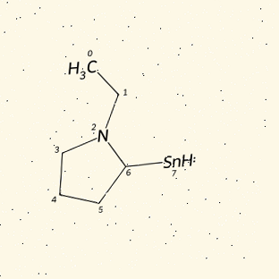 CCN1CCC[CH]1[SnH]